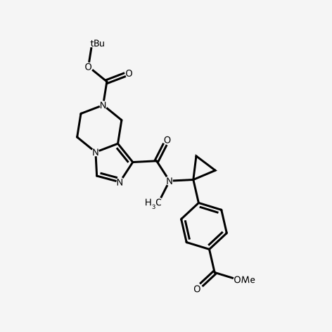 COC(=O)c1ccc(C2(N(C)C(=O)c3ncn4c3CN(C(=O)OC(C)(C)C)CC4)CC2)cc1